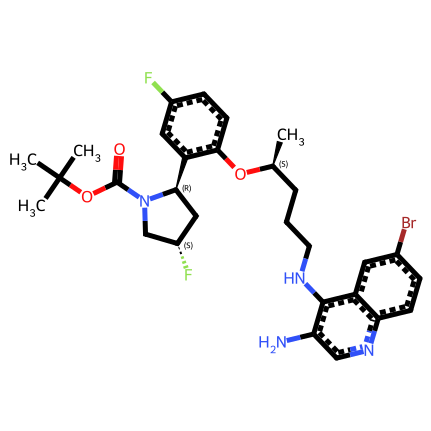 C[C@@H](CCCNc1c(N)cnc2ccc(Br)cc12)Oc1ccc(F)cc1[C@H]1C[C@H](F)CN1C(=O)OC(C)(C)C